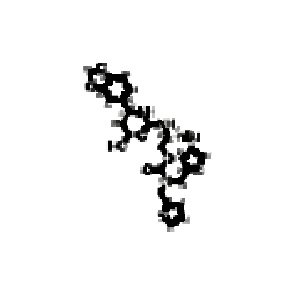 CCCC[C@H](COC(=O)N(Cc1cccs1)Cc1cccs1)NC(=O)N[C@@H](CCO)c1ccc2c(c1)OCO2